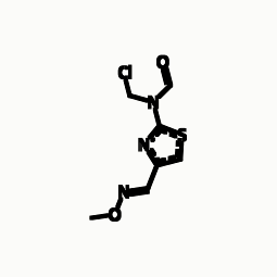 CO/N=C/c1csc(N(C=O)CCl)n1